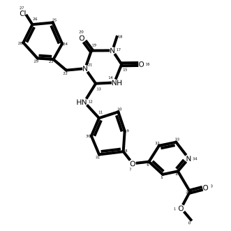 COC(=O)c1cc(Oc2ccc(NC3NC(=O)N(C)C(=O)N3Cc3ccc(Cl)cc3)cc2)ccn1